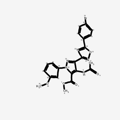 COC(=O)c1c(NC(C)=O)c(-c2noc(-c3ccc(Br)cc3)n2)nn1-c1cccc(OC)c1